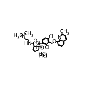 Cc1ccc2cccc(OCc3c(Cl)ccc(S(=O)(=O)N4CCCC4C(=O)NCCN(C)C)c3Cl)c2n1.Cl.Cl